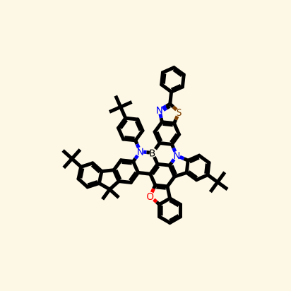 CC(C)(C)c1ccc(N2B3c4cc5nc(-c6ccccc6)sc5cc4-n4c5ccc(C(C)(C)C)cc5c5c6c(oc7ccccc76)c(c3c54)-c3cc4c(cc32)-c2cc(C(C)(C)C)ccc2C4(C)C)cc1